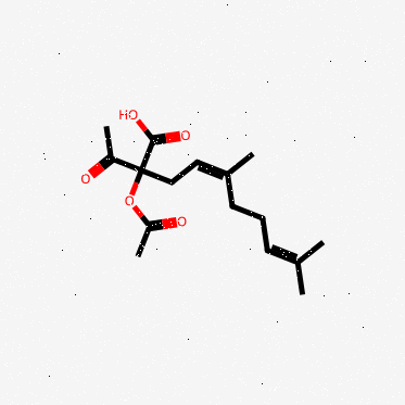 CC(=O)OC(CC=C(C)CCC=C(C)C)(C(C)=O)C(=O)O